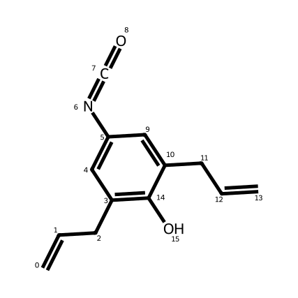 C=CCc1cc(N=C=O)cc(CC=C)c1O